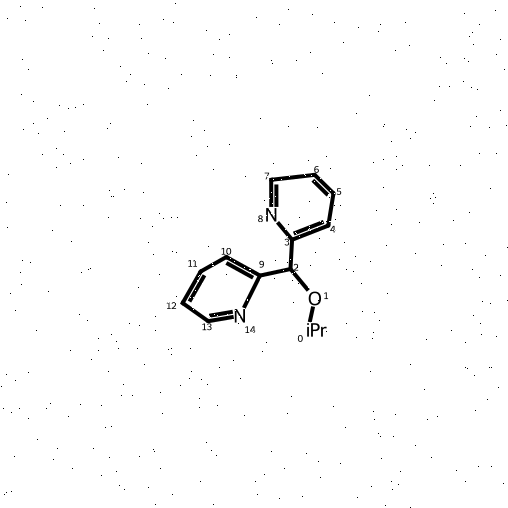 CC(C)OC(c1ccccn1)c1ccccn1